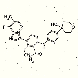 CCc1c(-c2cnc3c(F)c(C)ccn23)ccc(Nc2ccc(C3(O)CCOCC3)cn2)c1C(C)=O